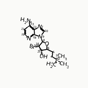 C=P(C)(C)CCC1OC(n2cnc3c(N)ccnc32)[C@H](Br)[C@@H]1O